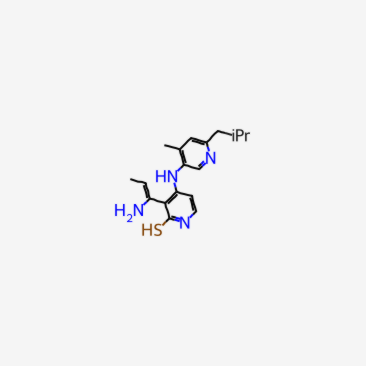 C/C=C(\N)c1c(Nc2cnc(CC(C)C)cc2C)ccnc1S